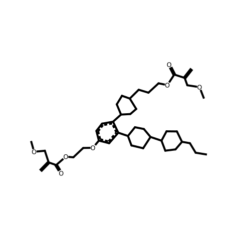 C=C(COC)C(=O)OCCCC1CCC(c2ccc(OCCOC(=O)C(=C)COC)cc2C2CCC(C3CCC(CCC)CC3)CC2)CC1